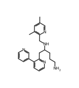 Cc1cnc(CNC(CCCN)Cc2ncccc2-c2cccnc2)c(C)c1